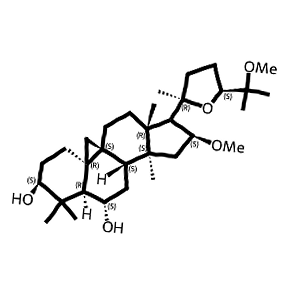 CO[C@H]1C[C@@]2(C)[C@@H]3C[C@H](O)[C@H]4C(C)(C)[C@@H](O)CC[C@@]45C[C@@]35CC[C@]2(C)C1[C@@]1(C)CC[C@@H](C(C)(C)OC)O1